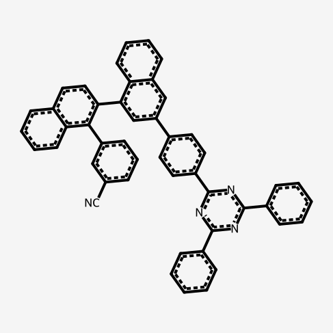 N#Cc1cccc(-c2c(-c3cc(-c4ccc(-c5nc(-c6ccccc6)nc(-c6ccccc6)n5)cc4)cc4ccccc34)ccc3ccccc23)c1